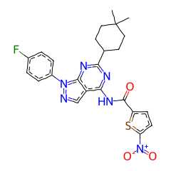 CC1(C)CCC(c2nc(NC(=O)c3ccc([N+](=O)[O-])s3)c3cnn(-c4ccc(F)cc4)c3n2)CC1